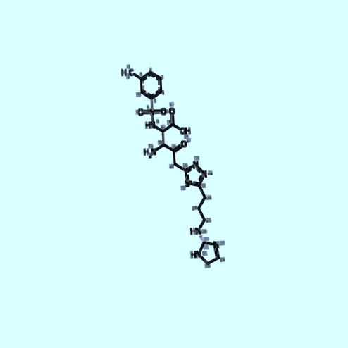 Cc1cccc(S(=O)(=O)NC(C(=O)O)C(N)C(=O)Cc2nnc(CCCN[C@@H]3N=CCN3)s2)c1